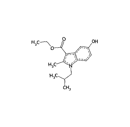 CCOC(=O)c1c(C)n(CC(C)C)c2ccc(O)cc12